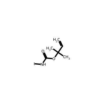 C=CC(C)(C)OC(=O)NI